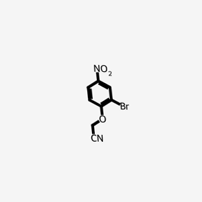 N#CCOc1ccc([N+](=O)[O-])cc1Br